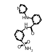 NS(=O)(=O)c1cccc(NC(=O)c2ccccc2Nc2cccnc2)c1